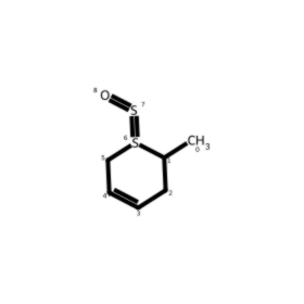 CC1CC=[C]CS1=S=O